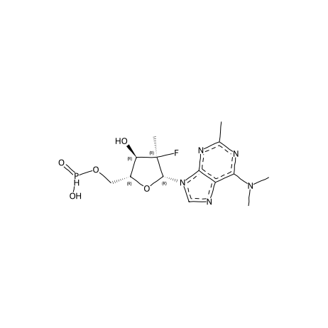 Cc1nc(N(C)C)c2ncn([C@@H]3O[C@H](CO[PH](=O)O)[C@@H](O)[C@@]3(C)F)c2n1